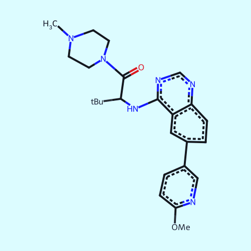 COc1ccc(-c2ccc3ncnc(NC(C(=O)N4CCN(C)CC4)C(C)(C)C)c3c2)cn1